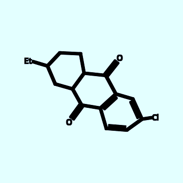 CCC1CCC2C(=O)c3cc(Cl)ccc3C(=O)C2C1